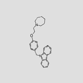 c1ccc2c(c1)c1ccccc1n2Cc1ccc(OCCN2CCCCCC2)cc1